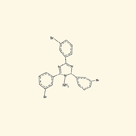 NN1C(c2cccc(Br)c2)=NC(c2cccc(Br)c2)=NC1c1cccc(Br)c1